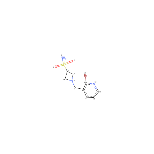 NS(=O)(=O)C1CN(Cc2cccnc2Br)C1